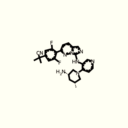 C[C@@H]1C[C@H](N)CN(c2ccncc2Nc2ncc3ccc(-c4c(F)cc(C(C)(C)C#N)cc4F)nn23)C1